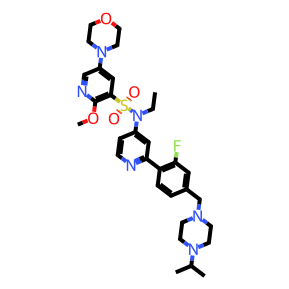 CCN(c1ccnc(-c2ccc(CN3CCN(C(C)C)CC3)cc2F)c1)S(=O)(=O)c1cc(N2CCOCC2)cnc1OC